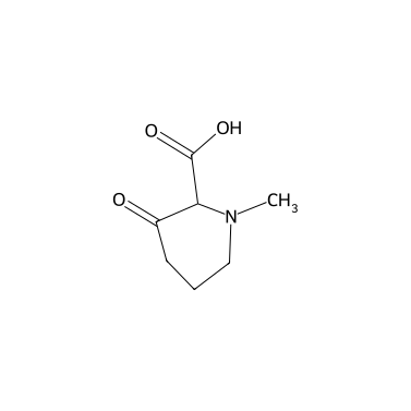 CN1CCCC(=O)C1C(=O)O